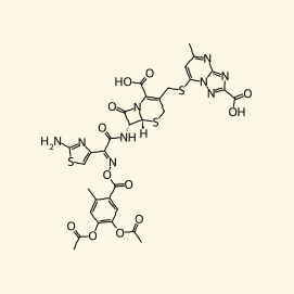 CC(=O)Oc1cc(C)c(C(=O)ON=C(C(=O)N[C@@H]2C(=O)N3C(C(=O)O)=C(CSc4cc(C)nc5nc(C(=O)O)nn45)CS[C@H]23)c2csc(N)n2)cc1OC(C)=O